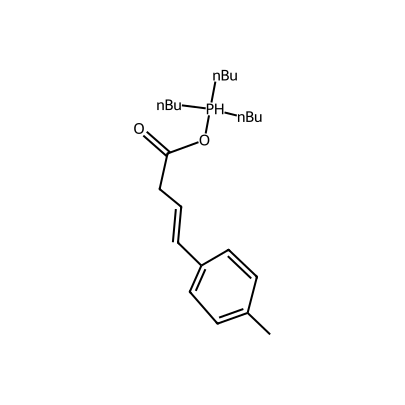 CCCC[PH](CCCC)(CCCC)OC(=O)CC=Cc1ccc(C)cc1